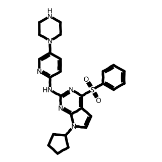 O=S(=O)(c1ccccc1)c1nc(Nc2ccc(N3CCNCC3)cn2)nc2c1ccn2C1CCCC1